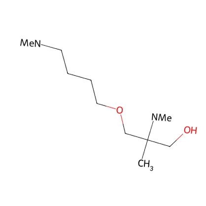 CNCCCCOCC(C)(CO)NC